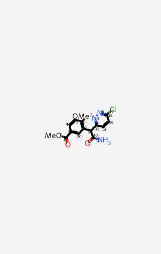 COC(=O)c1ccc(OC)c(C(C(N)=O)c2ccc(Cl)nn2)c1